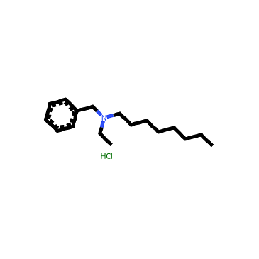 CCCCCCCCN(CC)Cc1ccccc1.Cl